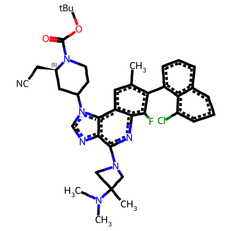 Cc1cc2c(nc(N3CC(C)(N(C)C)C3)c3ncn(C4CCN(C(=O)OC(C)(C)C)[C@H](CC#N)C4)c32)c(F)c1-c1cccc2cccc(Cl)c12